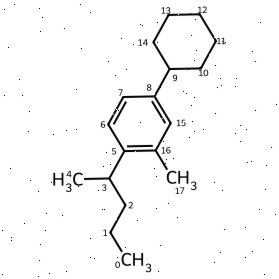 CCCC(C)c1ccc(C2CCCCC2)cc1C